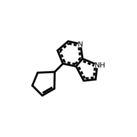 C1=CC(c2ccnc3[nH]ccc23)CC1